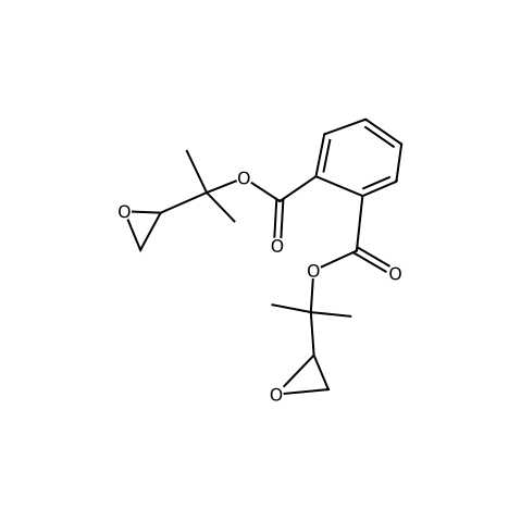 CC(C)(OC(=O)c1ccccc1C(=O)OC(C)(C)C1CO1)C1CO1